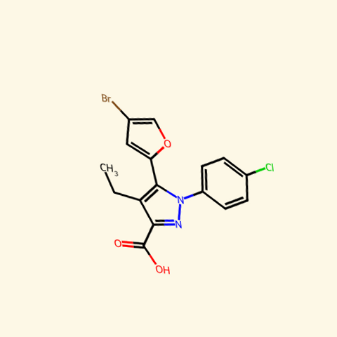 CCc1c(C(=O)O)nn(-c2ccc(Cl)cc2)c1-c1cc(Br)co1